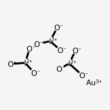 [Au+3].[O-][I+2]([O-])[O-].[O-][I+2]([O-])[O-].[O-][I+2]([O-])[O-]